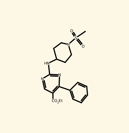 CCOC(=O)c1cnc(NC2CCN(S(C)(=O)=O)CC2)nc1-c1ccccc1